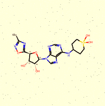 CC(C)(C)c1noc([C@H]2O[C@@H](n3cnc4c(NC5CCS(O)(O)CC5)ncnc43)[C@H](O)[C@@H]2O)n1